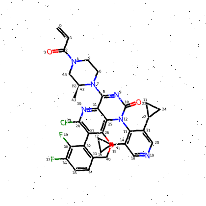 C=CC(=O)N1CCN(c2nc(=O)n(-c3c(C4CC4)cncc3C3CC3)c3c4c(c(Cl)nc23)-c2c(ccc(F)c2F)CO4)[C@@H](C)C1